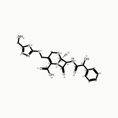 NCc1nnc(SCC2=C(C(=O)O)N3C(=O)C(NC(=O)C(O)c4ccccc4)[C@@H]3SC2)s1